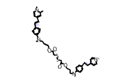 CC1C=C(/C=C/c2ccc(N(C)CCCOC(=O)CSSCC(=O)OCCCN(C)c3ccc(/C=C/c4cc[n+](C)cc4)cc3)cc2)C=CN1C